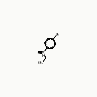 C#[SH](CC(C)(C)C)c1ccc(Br)cc1